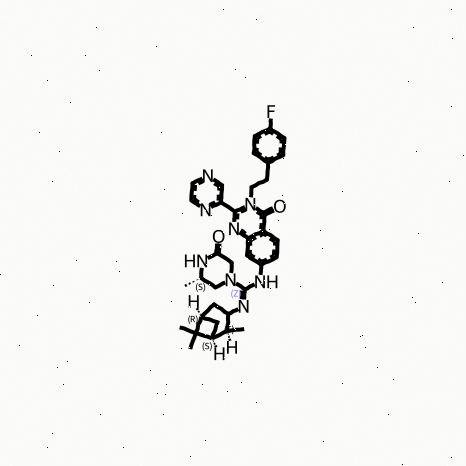 C[C@@H]1C(/N=C(/Nc2ccc3c(=O)n(CCc4ccc(F)cc4)c(-c4cnccn4)nc3c2)N2CC(=O)N[C@@H](C)C2)C[C@H]2C[C@@H]1C2(C)C